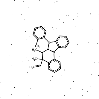 C=CC1(C)c2ccccc2N2c3ccccc3N(c3ccccc3C)C2C1C